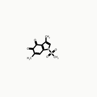 CC1=Cc2c(c(C)cn2S(C)(=O)=O)C(=O)C1=O